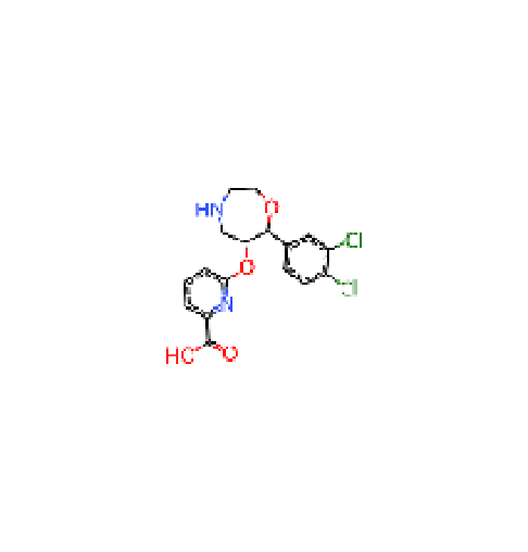 O=C(O)c1cccc(O[C@H]2CNCCOC2c2ccc(Cl)c(Cl)c2)n1